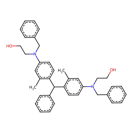 Cc1cc(N(CCO)Cc2ccccc2)ccc1C(c1ccccc1)c1ccc(N(CCO)Cc2ccccc2)cc1C